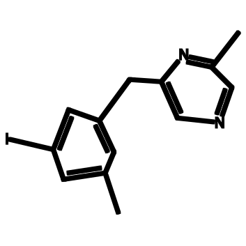 Cc1cc(I)cc(Cc2cncc(C)n2)c1